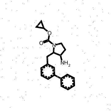 NC1CCN(C(=O)OC2CC2)C1Cc1cccc(-c2ccccc2)c1